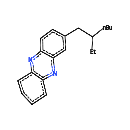 CCCCC(CC)Cc1ccc2nc3ccccc3nc2c1